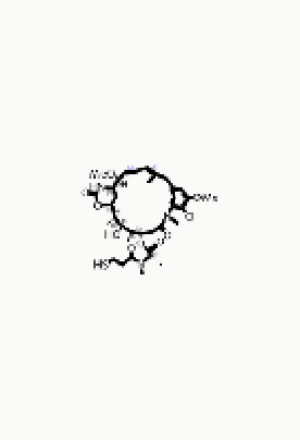 COc1cc2cc(c1Cl)N(C)C(=O)C[C@H](OC(=O)[C@H](C)N(C)C(=O)CCS)[C@@H](C)[C@@H](O)[C@H](C)[C@@H]1C[C@@](O)(NC(=O)O1)[C@H](OC)/C=C/C=C(\C)C2